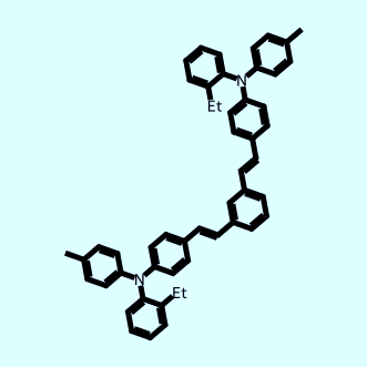 CCc1ccccc1N(c1ccc(C)cc1)c1ccc(C=Cc2cccc(C=Cc3ccc(N(c4ccc(C)cc4)c4ccccc4CC)cc3)c2)cc1